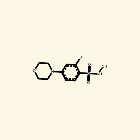 O=S(=O)(NO)c1ccc(N2CCOCC2)cc1Br